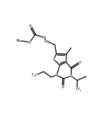 Cc1c(CNNC(=O)OC(C)(C)C)sc2c1c(=O)n(C(C)C(F)(F)F)c(=O)n2CCC(F)(F)F